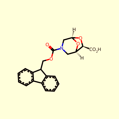 O=C(O)[C@@H]1O[C@@H]2CN(C(=O)OCC3c4ccccc4-c4ccccc43)C[C@H]1O2